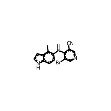 Cc1c(Nc2c(Br)cncc2C#N)ccc2[nH]ccc12